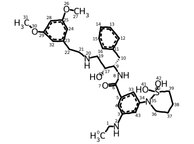 CCNc1cc(C(=O)N[C@@H](Cc2ccccc2)[C@H](O)CNCCc2cc(OC)cc(OC)c2)cc(N2CCCCS2(O)O)c1